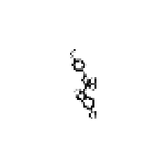 CSc1ccc(C=CC(=O)c2occ3cc(Cl)ccc23)cc1.Cl